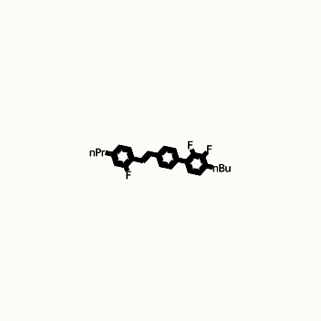 CCCCc1ccc(-c2ccc(/C=C/c3ccc(CCC)cc3F)cc2)c(F)c1F